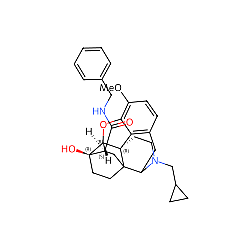 COc1ccc2c3c1O[C@H]1[C@@]4(O)CCC5(C[C@@H]4C(=O)NCc4ccccc4)C(C2)N(CC2CC2)CC[C@@]315